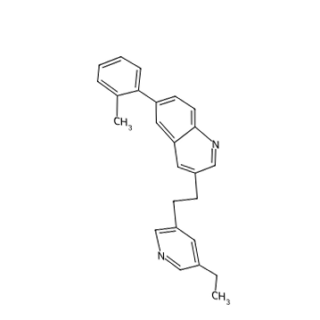 CCc1cncc(CCc2cnc3ccc(-c4ccccc4C)cc3c2)c1